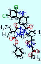 CC[C@H](C)[C@H](NC(=O)OCc1ccccc1)C(=O)N[C@@]1(C(=O)NC(C)(CC)Cc2nc(C(=O)OC)no2)CCc2[nH]c3c(Cl)cc(Cl)cc3c2C1